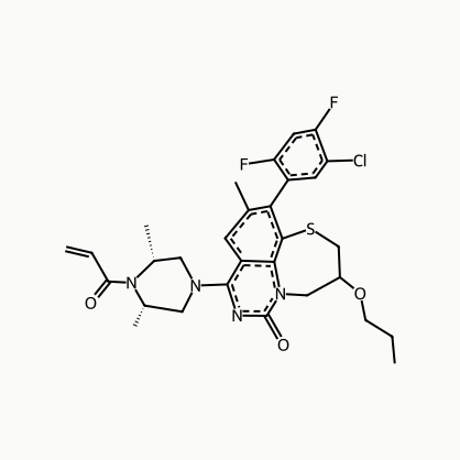 C=CC(=O)N1[C@H](C)CN(c2nc(=O)n3c4c(c(-c5cc(Cl)c(F)cc5F)c(C)cc24)SCC(OCCC)C3)C[C@@H]1C